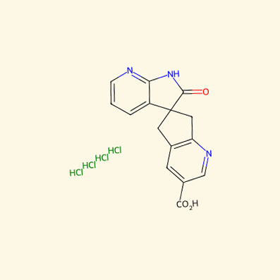 Cl.Cl.Cl.Cl.O=C(O)c1cnc2c(c1)CC1(C2)C(=O)Nc2ncccc21